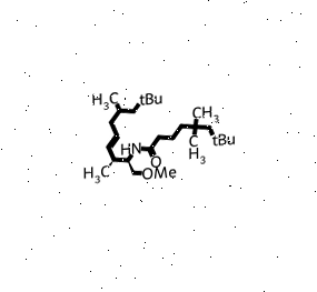 COC[C@H](NC(=O)CCCC(C)(C)CC(C)(C)C)[C@H](C)/C=C/CC(C)CC(C)(C)C